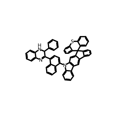 c1ccc(C2Nc3ccccc3N=C2c2ccc(-n3c4ccccc4c4cc5c(cc43)C3(c4ccccc4Sc4ccccc43)c3ccccc3-5)c3ccccc23)cc1